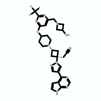 N#CC[C@]1(n2cc(-c3ncnc4[nH]ccc34)cn2)C[C@H](N2CCC(Oc3cc(CN4CC(O)C4)nc(C(F)(F)F)n3)CC2)C1